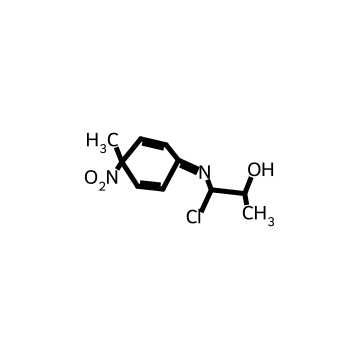 CC(O)C(Cl)N=C1C=CC(C)([N+](=O)[O-])C=C1